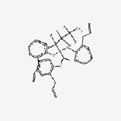 C=CCc1ccccc1OC(C)[Si](Oc1ccccc1CC=C)(Oc1ccccc1CC=C)C(F)(F)C(F)(F)C(F)(F)C(F)(F)F